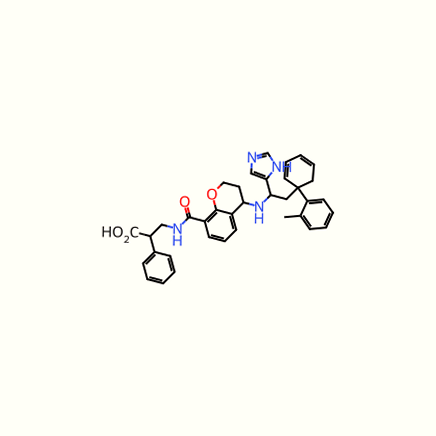 Cc1ccccc1C1(CC(NC2CCOc3c(C(=O)NCC(C(=O)O)c4ccccc4)cccc32)c2cnc[nH]2)C=CC=CC1